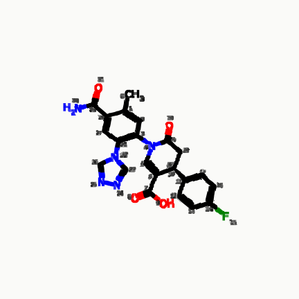 Cc1cc(N2C=C(C(=O)O)[C@H](c3ccc(F)cc3)CC2=O)c(-n2cnnc2)cc1C(N)=O